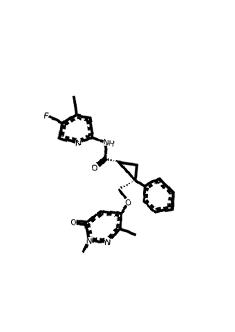 Cc1cc(NC(=O)[C@@H]2C[C@@]2(COc2cc(=O)n(C)nc2C)c2ccccc2)ncc1F